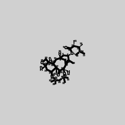 CC1=C2C[C@@H](C[C@@H]1OC(=O)[C@H](C)[C@H](C)N(C)C)C[C@H]1[C@H]3CO[C@H]3C[C@@H]3O[Si](C)(C)C[Si](C)(C)O[C@H]2C(=O)[C@]31C